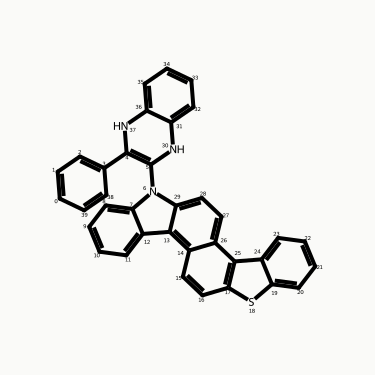 c1ccc(C2=C(n3c4ccccc4c4c5ccc6sc7ccccc7c6c5ccc43)Nc3ccccc3N2)cc1